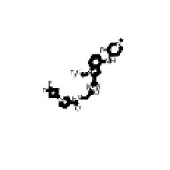 CN1CC[C@@H](Nc2cccc3c2cc(-c2noc(CNC(=O)c4ccn(C5CC(F)(F)C5)c4)n2)n3CC(F)(F)F)[C@@H](F)C1